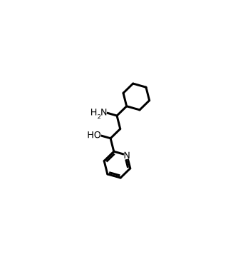 NC(CC(O)c1ccccn1)C1CCCCC1